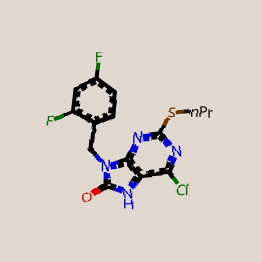 CCCSc1nc(Cl)c2[nH]c(=O)n(Cc3ccc(F)cc3F)c2n1